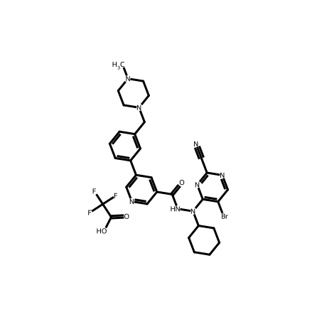 CN1CCN(Cc2cccc(-c3cncc(C(=O)NN(c4nc(C#N)ncc4Br)C4CCCCC4)c3)c2)CC1.O=C(O)C(F)(F)F